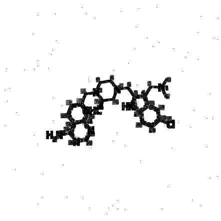 CN(C)Cc1c(CN2CCN(Cc3ccc4c(N)ncnc4c3)[C@H](C=O)C2)[nH]c2ccc(Cl)cc12